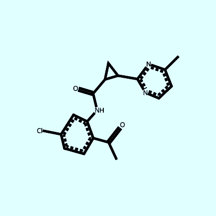 CC(=O)c1ccc(Cl)cc1NC(=O)C1CC1c1nccc(C)n1